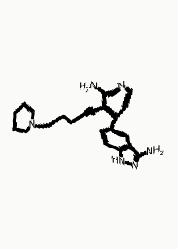 Nc1nccc(-c2ccc3[nH]nc(N)c3c2)c1C#CCCCN1CCCCC1